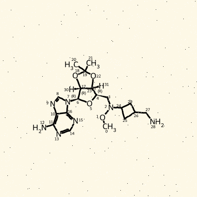 CON(C[C@H]1O[C@@H](n2cnc3c(N)ncnc32)[C@@H]2OC(C)(C)O[C@@H]21)C1CC(CN)C1